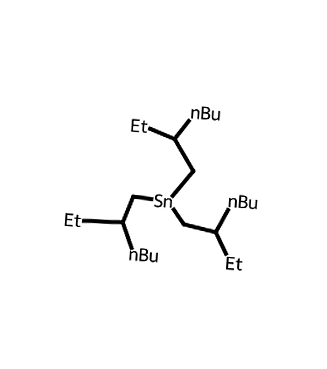 CCCCC(CC)[CH2][Sn]([CH2]C(CC)CCCC)[CH2]C(CC)CCCC